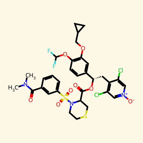 CN(C)C(=O)c1cccc(S(=O)(=O)N2CCSCC2C(=O)O[C@@H](Cc2c(Cl)c[n+]([O-])cc2Cl)c2ccc(OC(F)F)c(OCC3CC3)c2)c1